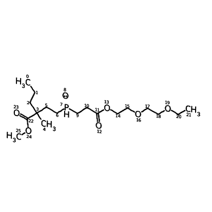 CCCC(C)(CC[PH](=O)CCC(=O)OCCOCCOCC)C(=O)OC